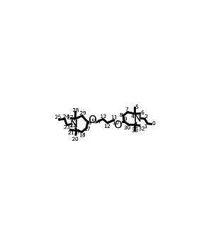 CCCN1C(C)(C)CCC(OCCCCOC2CCC(C)(C)N(CCC)C(C)(C)C2)CC1(C)C